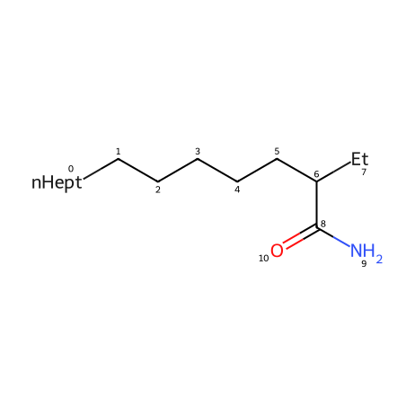 CCCCCCCCCCCCC(CC)C(N)=O